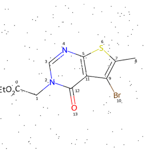 CCOC(=O)Cn1cnc2sc(C)c(Br)c2c1=O